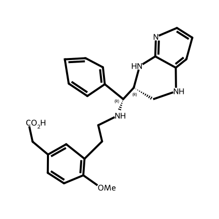 COc1ccc(CC(=O)O)cc1CCN[C@H](c1ccccc1)[C@H]1CNc2cccnc2N1